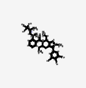 CCC1Cc2c(nn(C)c2-c2cc(F)c(F)c(F)c2)C(CC)N1C(=O)c1ccccc1N(N)/C=C(\N)C(F)(F)F